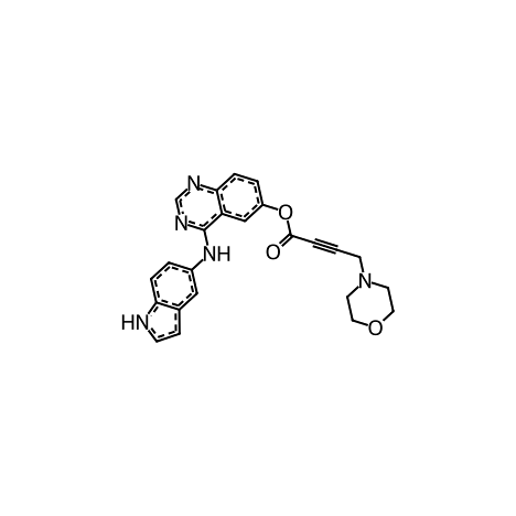 O=C(C#CCN1CCOCC1)Oc1ccc2ncnc(Nc3ccc4[nH]ccc4c3)c2c1